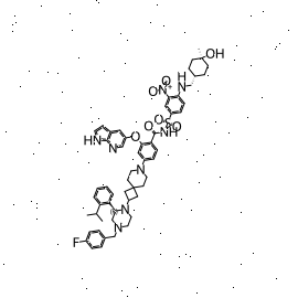 CC(C)c1ccccc1[C@@H]1CN(Cc2ccc(F)cc2)CCN1C1CC2(CCN(c3ccc(C(=O)NS(=O)(=O)c4ccc(NC[C@H]5CC[C@](C)(O)CC5)c([N+](=O)[O-])c4)c(Oc4cnc5[nH]ccc5c4)c3)CC2)C1